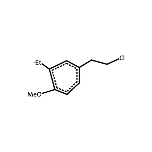 C[CH]c1cc(CCCl)ccc1OC